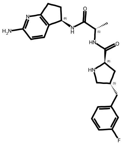 C[C@H](NC(=O)[C@H]1C[C@H](Cc2cccc(F)c2)CN1)C(=O)N[C@@H]1CCc2nc(N)ccc21